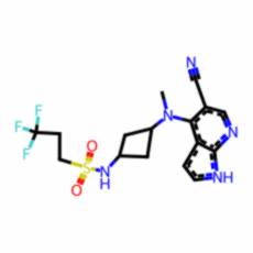 CN(c1c(C#N)cnc2[nH]ccc12)C1CC(NS(=O)(=O)CCC(F)(F)F)C1